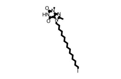 Cc1nc2c(c(=O)[nH]c(=O)n2C)n1CCCCCCCCCCCCCCCCI